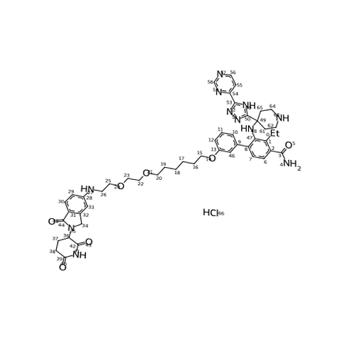 CCc1c(C(N)=O)ccc(-c2cccc(OCCCCCCOCCOCCNc3ccc4c(c3)CN(C3CCC(=O)NC3=O)C4=O)c2)c1NC1(c2nnc(-c3ccncn3)[nH]2)CCNCC1.Cl